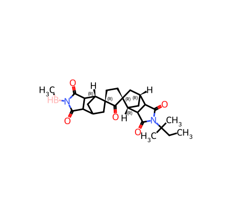 CBN1C(=O)C2C3C[C@H](C2C1=O)[C@@]1(CC[C@]2(C[C@H]4C[C@@H]2C2C(=O)N(C(C)(C)CC)C(=O)C24)C1=O)C3